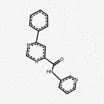 O=C(Nc1cccnc1)c1cc(-c2ccccc2)ncn1